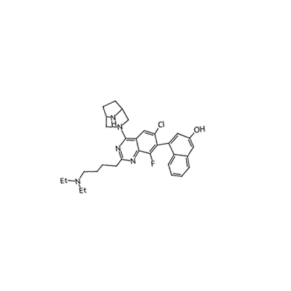 CCN(CC)CCCCc1nc(N2CC3CCC(C2)N3)c2cc(Cl)c(-c3cc(O)cc4ccccc34)c(F)c2n1